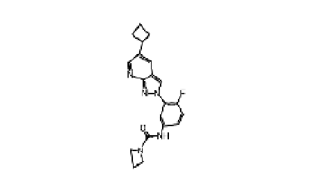 O=C(Nc1ccc(F)c(-n2cc3cc(C4CCC4)cnc3n2)c1)N1CCC1